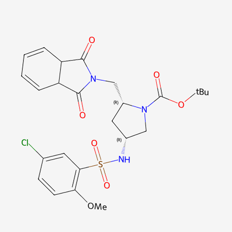 COc1ccc(Cl)cc1S(=O)(=O)N[C@@H]1C[C@H](CN2C(=O)C3C=CC=CC3C2=O)N(C(=O)OC(C)(C)C)C1